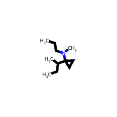 CCCN(C)C1(C(C)CC)CC1